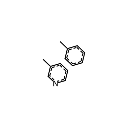 Cc1ccccc1.Cc1cccnc1